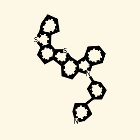 c1cc(-c2ccncc2)cc(-n2c3ccccc3c3c4sc5c(ccc6sc7ccccc7c65)c4ccc32)c1